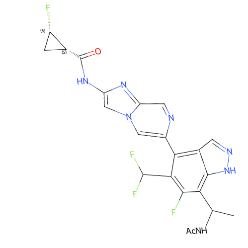 CC(=O)NC(C)c1c(F)c(C(F)F)c(-c2cn3cc(NC(=O)[C@@H]4C[C@@H]4F)nc3cn2)c2cn[nH]c12